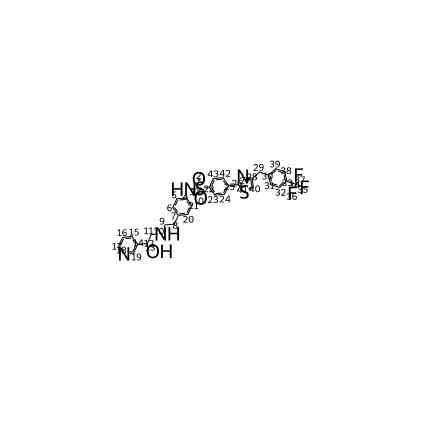 O=S(=O)(Nc1ccc(CCNCC(O)c2cccnc2)cc1)c1ccc(-c2nc(Cc3ccc(C(F)(F)F)cc3)cs2)cc1